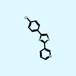 Clc1ccc(-c2csc(-c3[c]ccnc3)n2)cc1